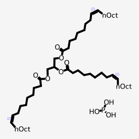 CCCCCCCC/C=C\CCCCCCCC(=O)OCC(COC(=O)CCCCCCC/C=C\CCCCCCCC)OC(=O)CCCCCCC/C=C\CCCCCCCC.OP(O)O